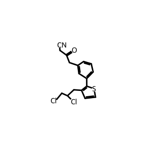 N#CCC(=O)Cc1cccc(-c2sccc2CC(Cl)CCl)c1